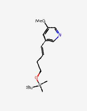 COc1cncc(/C=C/CCO[Si](C)(C)C(C)(C)C)c1